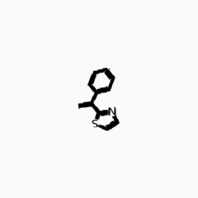 C=C(c1cc[c]cc1)c1nccs1